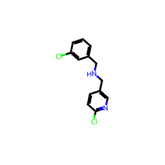 Clc1cccc(CNCc2ccc(Cl)nc2)c1